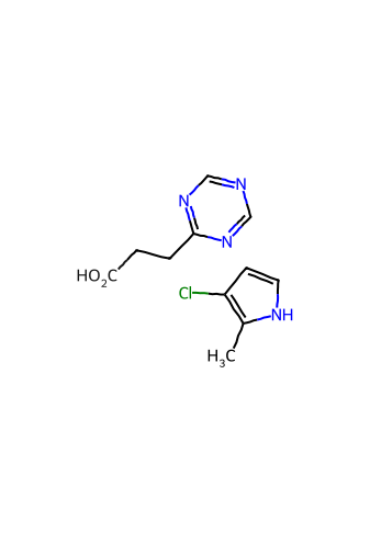 Cc1[nH]ccc1Cl.O=C(O)CCc1ncncn1